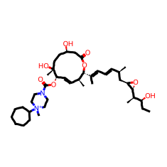 CC[C@H](O)[C@@H](C)[C@H]1O[C@@H]1C[C@H](C)/C=C/C=C(\C)[C@H]1OC(=O)C[C@H](O)CC[C@@](C)(O)[C@@H](OC(=O)N2CC[N+](C)(C3CCCCCC3)CC2)/C=C/[C@@H]1C